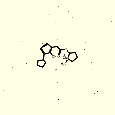 C[N+]1(C)CCCC1OC(=O)Cc1cccc(C2CCCC2)c1O.[Cl-]